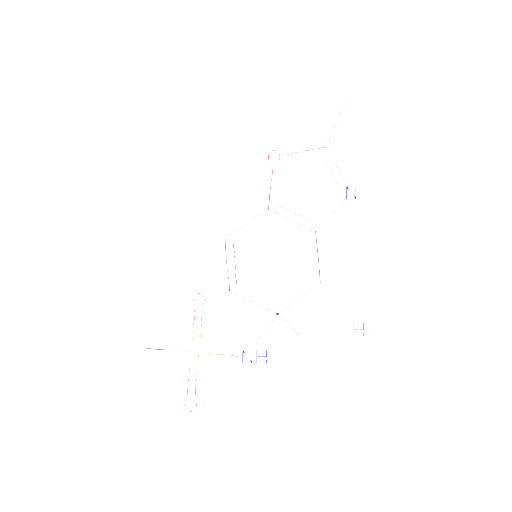 Cc1nc2c(o1)C=CC(C)(NS(C)(=O)=O)C2.I